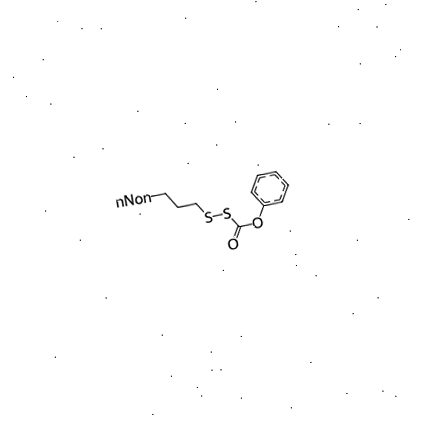 CCCCCCCCCCCCSSC(=O)Oc1ccccc1